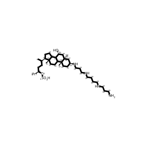 CC(CC[C@@H](OS(=O)(=O)O)C(C)C)[C@H]1CCC2C3C(CC[C@@]21C)[C@@]1(C)CC[C@H](NCCCNCCCCNCCCN)C[C@@H]1C[C@H]3O